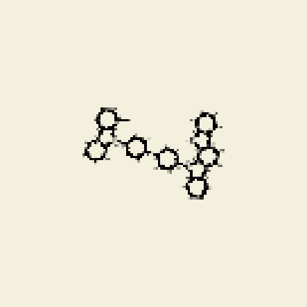 Cc1cccc2c3ccccc3n(-c3ccc(-c4ccc(-n5c6ccccc6c6ccc7c8ccccc8sc7c65)cc4)cc3)c12